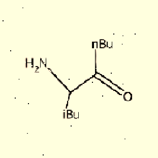 CCCCC(=O)C(N)C(C)CC